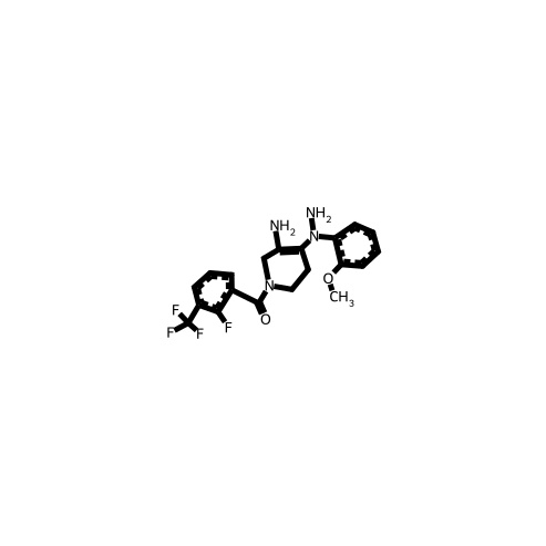 COc1ccccc1N(N)C1=C(N)CN(C(=O)c2cccc(C(F)(F)F)c2F)CC1